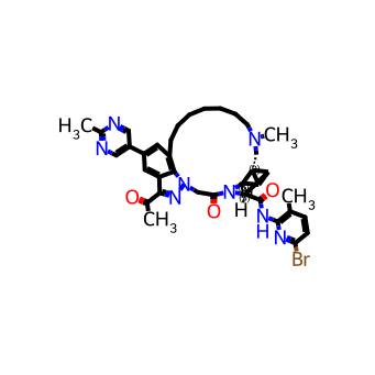 CC(=O)c1nn2c3c(cc(-c4cnc(C)nc4)cc13)CCCCCCCN(C)C[C@]13C4C1[C@H]3N(C(=O)C2)[C@@H]4C(=O)Nc1nc(Br)ccc1C